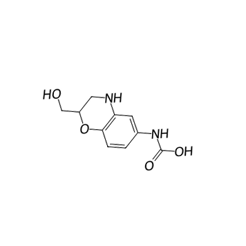 O=C(O)Nc1ccc2c(c1)NCC(CO)O2